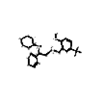 COc1ccc(C(C)(C)C)cc1CNCC(NC1CCCCC1)c1ccccc1